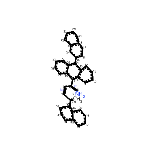 C=C(/C=C\C(=C/N)c1c2ccccc2c(-c2ccc3ccccc3c2)c2ccccc12)c1cccc2ccccc12